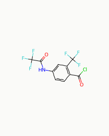 O=C(Cl)c1ccc(NC(=O)C(F)(F)F)cc1C(F)(F)F